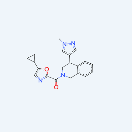 Cn1cc(C2CN(C(=O)c3ncc(C4CC4)o3)Cc3ccccc32)cn1